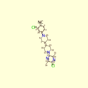 [C-]#[N+]c1ccc(N2CCC(C3CCN(c4nc(C)c(Cl)nc4C)CC3)CC2)cc1Cl